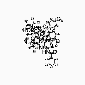 COc1ccc(C(OC[C@H]2O[C@@H](n3cnc4c(NC(=O)c5ccccc5)ncnc43)[C@@H](O[Si](C)(C)C(C)(C)C)[C@@H]2P(O)(O)(CCC#N)N(C(C)C)C(C)C)(c2ccccc2)c2ccc(OC)cc2)cc1